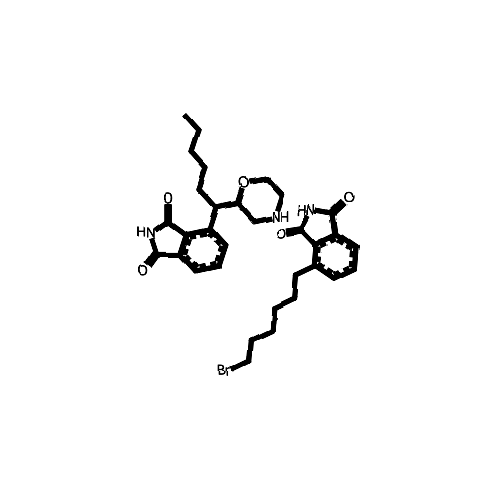 CCCCCC(c1cccc2c1C(=O)NC2=O)C1CNCCO1.O=C1NC(=O)c2c(CCCCCCBr)cccc21